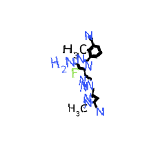 Cc1c(C#N)cccc1-c1nc(N)c(F)c(-c2cn(Cc3cc(C#N)n(C)n3)nn2)n1